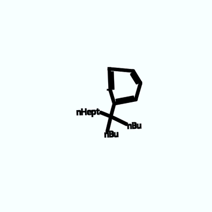 CCCCCCCC(CCCC)(CCCC)c1[c]cccc1